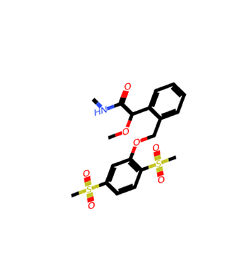 CNC(=O)C(OC)c1ccccc1COc1cc(S(C)(=O)=O)ccc1S(C)(=O)=O